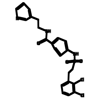 O=C(NCCc1cccnc1)c1ccc(NS(=O)(=O)CCc2cccc(Cl)c2Cl)cc1